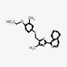 Cc1cc(SCc2sc(-c3nccc4ccccc34)nc2C)ccc1OCC(=O)O